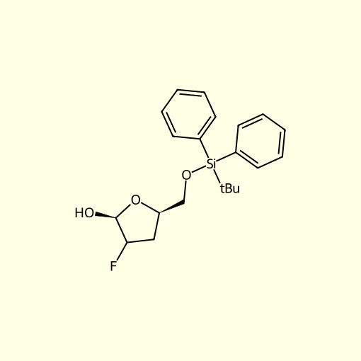 CC(C)(C)[Si](OC[C@H]1CC(F)[C@@H](O)O1)(c1ccccc1)c1ccccc1